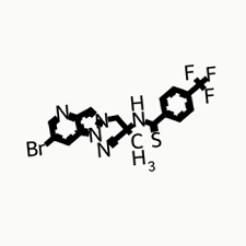 CC(C#N)(Cn1cc2ncc(Br)cc2n1)NC(=S)c1ccc(C(F)(F)F)cc1